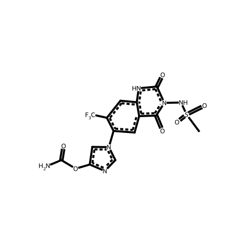 CS(=O)(=O)Nn1c(=O)[nH]c2cc(C(F)(F)F)c(-n3cnc(OC(N)=O)c3)cc2c1=O